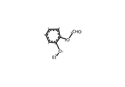 CCOc1ccccc1O[C]=O